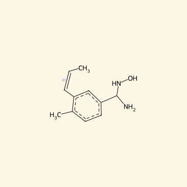 C/C=C\c1cc(C(N)NO)ccc1C